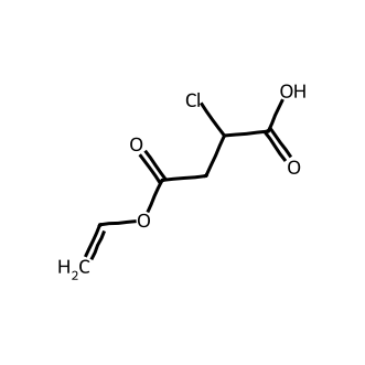 C=COC(=O)CC(Cl)C(=O)O